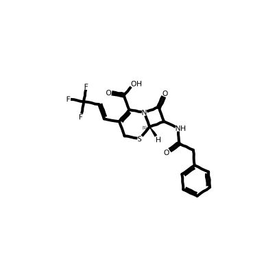 O=C(Cc1ccccc1)NC1C(=O)N2C(C(=O)O)=C(C=CC(F)(F)F)CS[C@@H]12